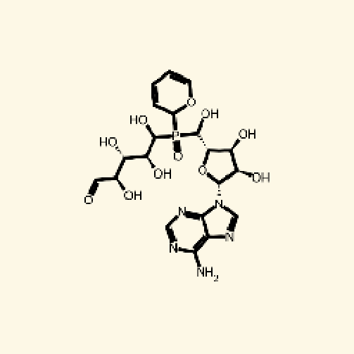 Nc1ncnc2c1ncn2[C@@H]1O[C@H](C(O)P(=O)(C2C=CC=CO2)C(O)[C@@H](O)[C@@H](O)[C@@H](O)C=O)[C@@H](O)[C@H]1O